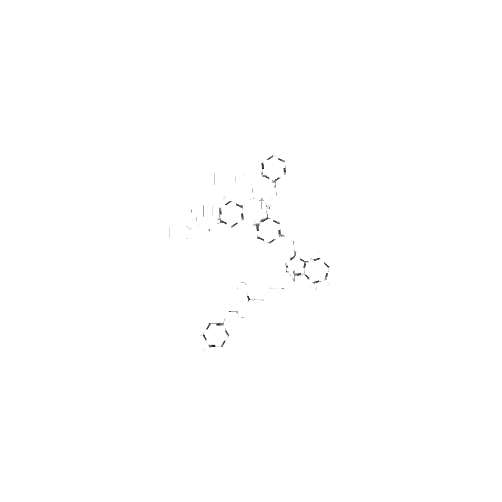 CCC(c1ccc(CC(C)C)cc1)N(Cc1ccccc1)c1cccc(Cc2cn(CCCC(=O)OCc3ccccc3)c3ccccc23)c1